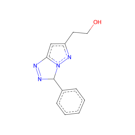 OCCc1cc2n(n1)C(c1ccccc1)N=N2